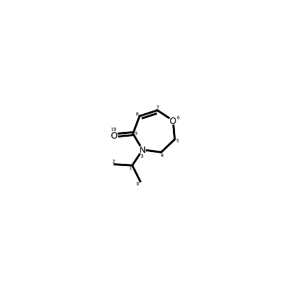 CC(C)N1CCOC=CC1=O